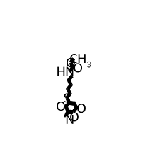 COC(=O)NCCCCCSC1=CC(=O)c2oncc2C1=O